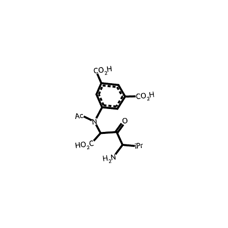 CC(=O)N(c1cc(C(=O)O)cc(C(=O)O)c1)C(C(=O)O)C(=O)C(N)C(C)C